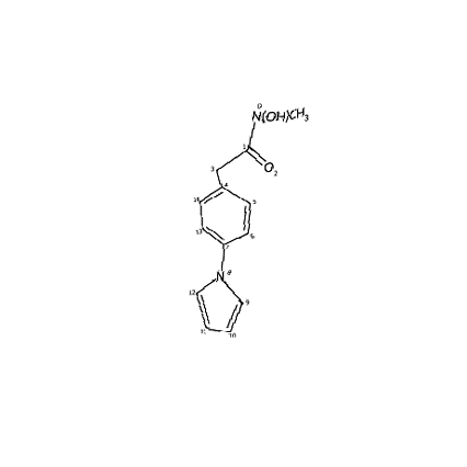 CN(O)C(=O)Cc1ccc(-n2cccc2)cc1